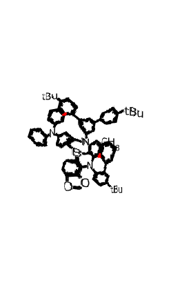 Cc1cc2c3c(c1)N(c1ccc(C(C)(C)C)cc1-c1ccccc1)c1c(ccc4c1OCO4)B3c1ccc(N(c3ccccc3)c3ccccc3)cc1N2c1cc(-c2ccc(C(C)(C)C)cc2)cc(-c2ccc(C(C)(C)C)cc2)c1